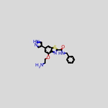 NCCOc1cc(-c2cn[nH]c2)cc2sc(C(=O)NCc3ccccc3)nc12